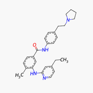 CCc1ccnc(Nc2cc(C(=O)Nc3ccc(CCN4CCCC4)cc3)ccc2C)c1